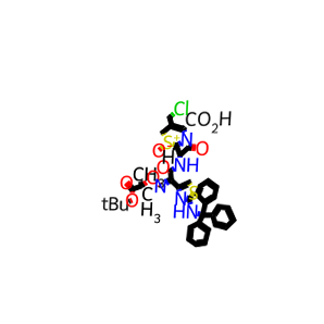 CC(C)(C)OC(=O)C(C)(C)O/N=C(\C(=O)NC1C(=O)N2C(C(=O)O)=C(CCl)C[S+]([O-])[C@@H]12)c1csc(NC(c2ccccc2)(c2ccccc2)c2ccccc2)n1